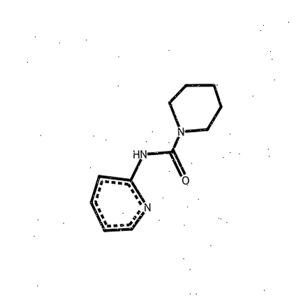 O=C(Nc1ccccn1)N1CC[CH]CC1